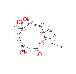 C/C(=C\I)C1OC(=O)CC(O)CCC(C)(O)C(O)C=CC1C